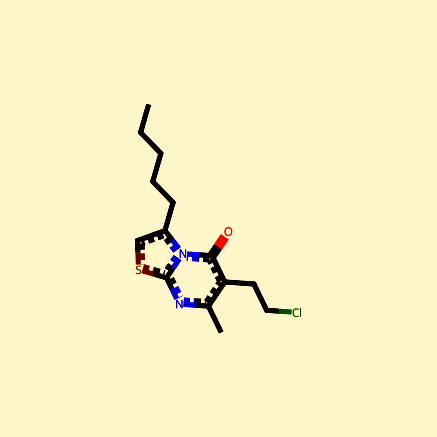 CCCCCc1csc2nc(C)c(CCCl)c(=O)n12